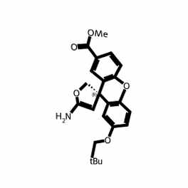 COC(=O)c1ccc2c(c1)[C@]1(C=C(N)OC1)c1cc(OCC(C)(C)C)ccc1O2